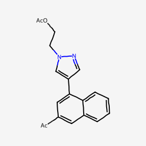 CC(=O)OCCn1cc(-c2cc(C(C)=O)cc3ccccc23)cn1